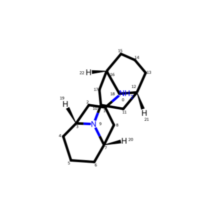 NC1C[C@H]2CCC[C@@H](C1)N2C1C[C@H]2CCC[C@@H](C1)C2